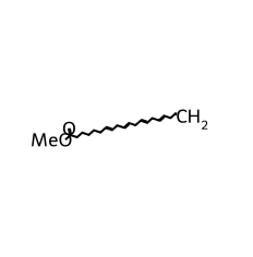 C=CCC=CCC=CCC=CCC=CCCCCCC(=O)OC